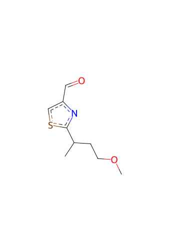 COCCC(C)c1nc(C=O)cs1